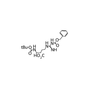 CC(C)(C)OC(=O)N[C@@H](CCCNC(=N)NC(=O)OCc1ccccc1)C(=O)O